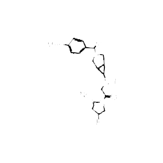 COc1ccc(C(=O)N2CC3C(C2)C3NCC(=O)N2C[C@@H](F)C[C@H]2C#N)cc1